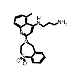 Cc1cccc2nc(N3CCS(=O)(=O)c4ccccc4C3)cc(NCCCN)c12